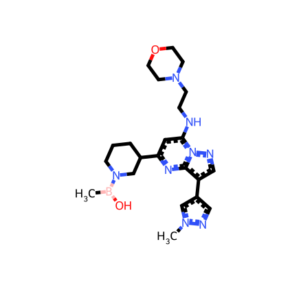 CB(O)N1CCCC(c2cc(NCCN3CCOCC3)n3ncc(-c4cnn(C)c4)c3n2)C1